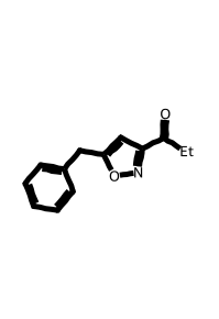 CCC(=O)c1cc(Cc2ccccc2)on1